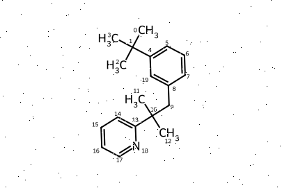 CC(C)(C)c1cccc(CC(C)(C)c2ccccn2)c1